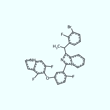 CC(c1cccc(Br)c1F)c1nc(-c2cc(Oc3c(F)cc4[nH]ccc4c3F)ccc2F)n2ccccc12